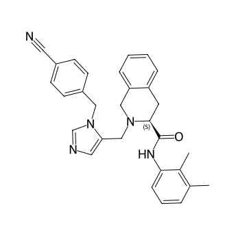 Cc1cccc(NC(=O)[C@@H]2Cc3ccccc3CN2Cc2cncn2Cc2ccc(C#N)cc2)c1C